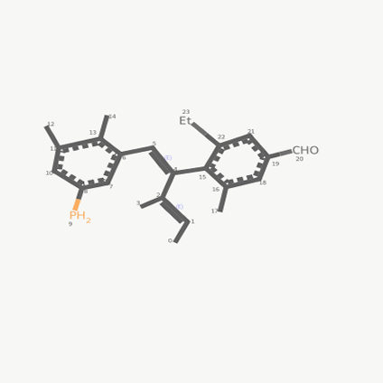 C/C=C(C)/C(=C\c1cc(P)cc(C)c1C)c1c(C)cc(C=O)cc1CC